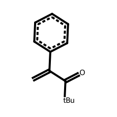 C=C(C(=O)C(C)(C)C)c1ccccc1